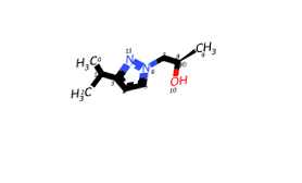 CC(C)c1ccn(C[C@@H](C)O)n1